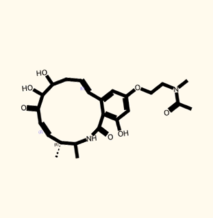 CC(=O)N(C)CCOc1cc(O)c2c(c1)/C=C/CC(O)C(O)C(=O)/C=C\[C@@H](C)C(C)NC2=O